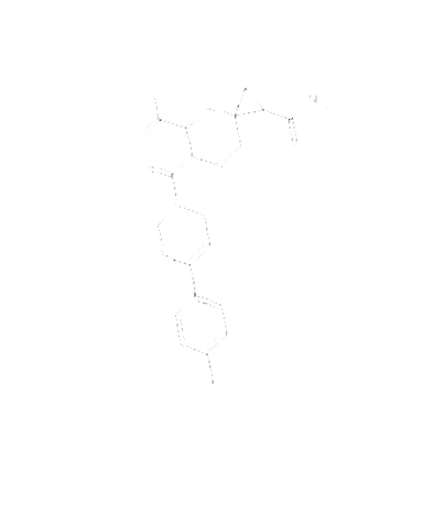 CCc1ccc(C2=CCN(C(=O)C3NCC4(CC3C(=O)O)CC4C(N)=O)CC2)cc1